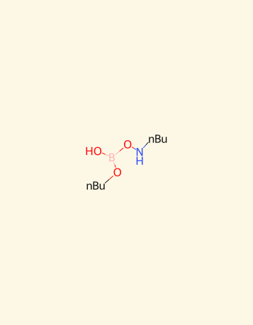 CCCCNOB(O)OCCCC